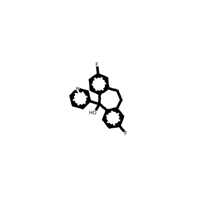 OC1(c2cccnc2)c2ccc(F)cc2CCc2cc(F)ccc21